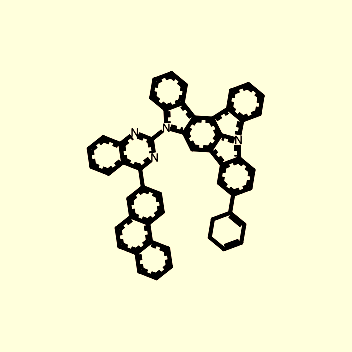 C1=CCCC(c2ccc3c(c2)c2cc4c(c5ccccc5n4-c4nc(-c5ccc6c(ccc7ccccc76)c5)c5ccccc5n4)c4c5ccccc5n3c24)=C1